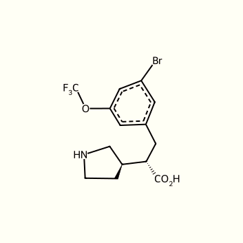 O=C(O)[C@@H](Cc1cc(Br)cc(OC(F)(F)F)c1)[C@H]1CCNC1